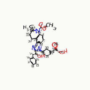 COC(=O)N1c2ccc3c(nc([C@@H](O)Cc4ccccc4)n3[C@@H]3CCC[C@@H](C(=O)O)C3)c2CC[C@@H]1C